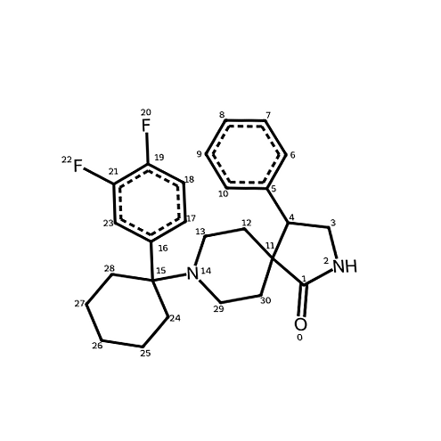 O=C1NCC(c2ccccc2)C12CCN(C1(c3ccc(F)c(F)c3)CCCCC1)CC2